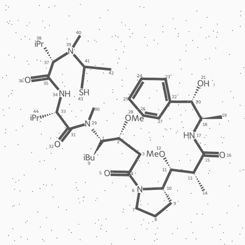 CC[C@H](C)[C@@H]([C@@H](CC(=O)N1CCC[C@H]1[C@H](OC)[C@@H](C)C(=O)N[C@H](C)[C@@H](O)c1ccccc1)OC)N(C)C(=O)[C@@H](NC(=O)[C@H](C(C)C)N(C)C(C)S)C(C)C